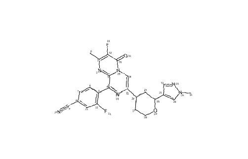 Cc1nc2c(-c3ccc(C#N)cc3F)nc(C3CCOC(c4cnn(C)c4)C3)cn2c(=O)c1F